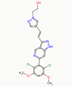 COc1cc(OC)c(Cl)c(-c2cc3[nH]nc(C=Cc4cnn(CCO)c4)c3cn2)c1Cl